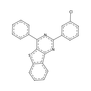 Clc1cccc(-c2nc(-c3ccccc3)c3sc4ccccc4c3n2)c1